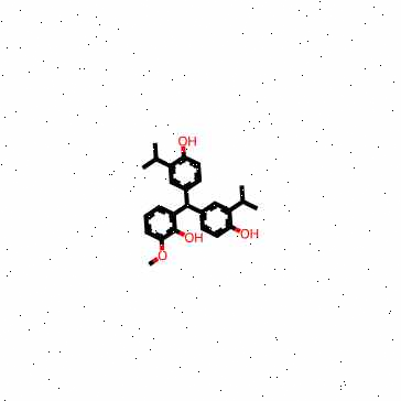 COc1cccc(C(c2ccc(O)c(C(C)C)c2)c2ccc(O)c(C(C)C)c2)c1O